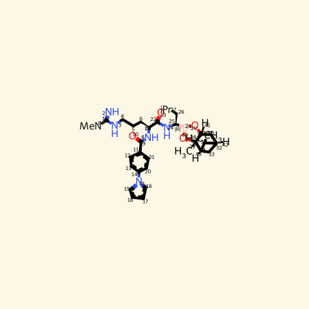 CNC(=N)NCCC[C@H](NC(=O)c1ccc(-n2cccc2)cc1)C(=O)N[C@@H](CC(C)C)B1O[C@@H]2C[C@@H]3C[C@@H](C3(C)C)[C@]2(C)O1